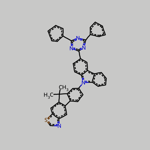 CC1(C)c2cc(-n3c4ccccc4c4cc(-c5nc(-c6ccccc6)nc(-c6ccccc6)n5)ccc43)ccc2-c2cc3ncsc3cc21